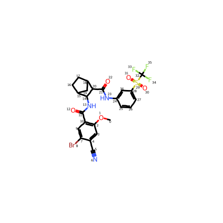 COc1cc(C#N)c(Br)cc1C(=O)NC1C2CCC(C2)C1C(=O)Nc1cccc(S(=O)(=O)C(F)(F)F)c1